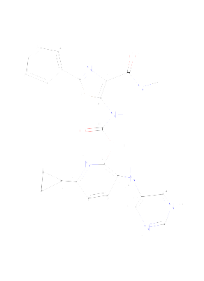 CNC(=O)c1nc(-c2ccccc2)sc1NC(=O)Oc1nc(C2CC2)ccc1Nc1cncnc1